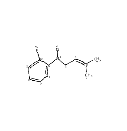 CC(C)=CCN(Cl)c1ccccc1F